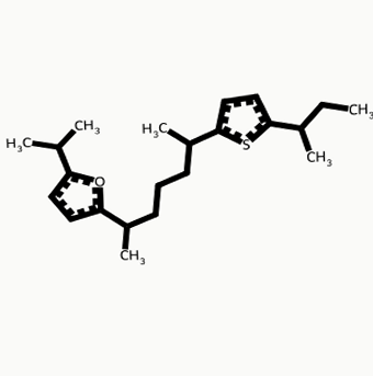 CCC(C)c1ccc(C(C)CCCC(C)c2ccc(C(C)C)o2)s1